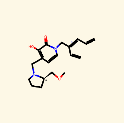 C=C/C=C(\C=C)Cn1ccc(CN2CCC[C@@H]2COC)c(O)c1=O